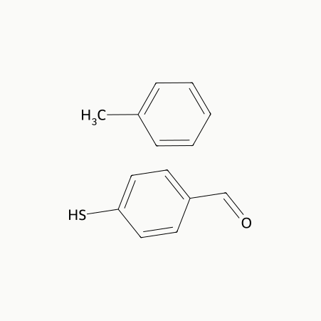 Cc1ccccc1.O=Cc1ccc(S)cc1